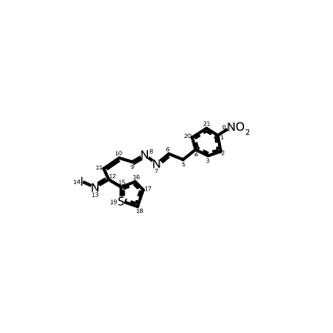 O=[N+]([O-])c1ccc(C/C=N/N=C/C=C\C(=N/I)c2cccs2)cc1